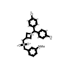 CNc1cccc(CS(=O)(=O)CC2CN(C(c3ccc(Cl)cc3)c3ccc(Cl)cc3)C2)c1